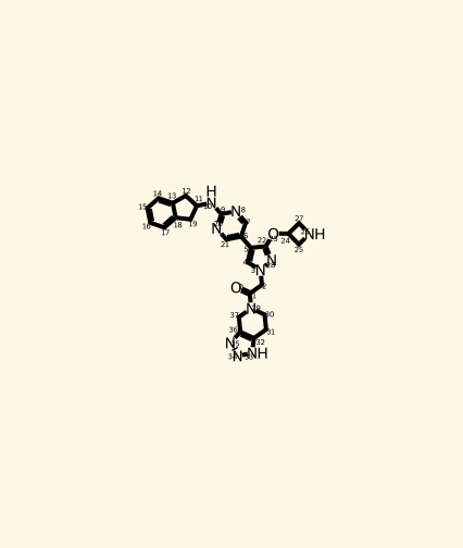 O=C(Cn1cc(-c2cnc(NC3Cc4ccccc4C3)nc2)c(OC2CNC2)n1)N1CCc2[nH]nnc2C1